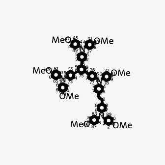 COc1ccc(N(c2ccc(/C=C/c3ccc(N(c4ccc(OC)cc4)c4ccc(-c5cc(-c6ccc(N(c7ccc(OC)cc7)c7ccc(OC)cc7)cc6)cc(-c6ccc(N(c7ccc(OC)cc7)c7ccc(OC)cc7)cc6)c5)cc4)cc3)cc2)c2ccc(OC)cc2)cc1